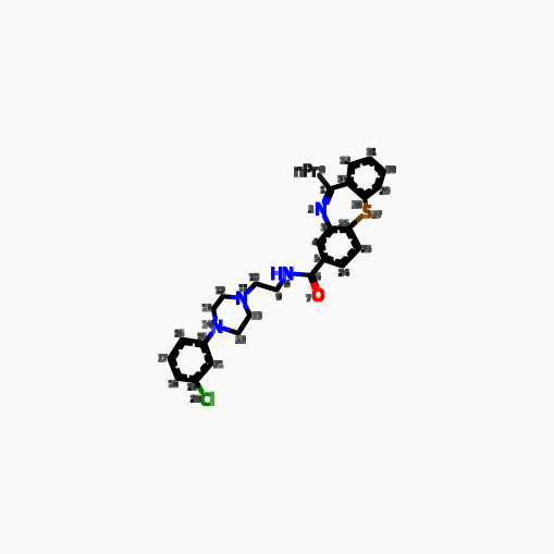 CCCC1=Nc2cc(C(=O)NCCN3CCN(c4cccc(Cl)c4)CC3)ccc2Sc2ccccc21